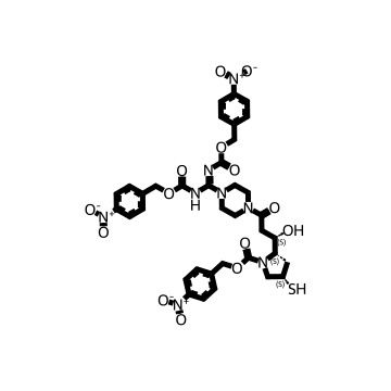 O=C(N=C(NC(=O)OCc1ccc([N+](=O)[O-])cc1)N1CCN(C(=O)C[C@H](O)[C@@H]2C[C@H](S)CN2C(=O)OCc2ccc([N+](=O)[O-])cc2)CC1)OCc1ccc([N+](=O)[O-])cc1